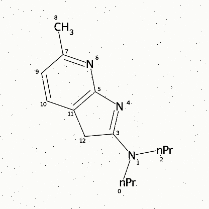 CCCN(CCC)C1=Nc2nc(C)ccc2C1